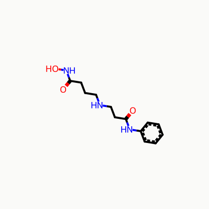 O=C(CCCNCCC(=O)Nc1ccccc1)NO